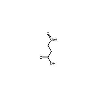 [O]=[GeH][CH2]CC(=O)O